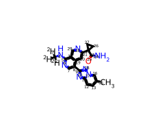 [2H]C([2H])([2H])Nc1ncc(-c2nc3ccc(C)cn3n2)c2cc(C3(C(N)=O)CC3)ncc12